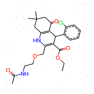 CCOC(=O)C1=C(COCCNC(C)=O)NC2=C(C(=O)CC(C)(C)C2)C1c1ccccc1Cl